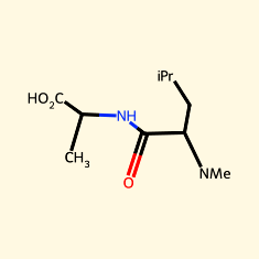 CNC(CC(C)C)C(=O)NC(C)C(=O)O